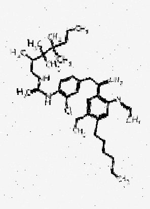 C=C(NCC(C)C(C)(C)C(C)(C)CCC)Nc1ccc(CC(=C)c2cc(CC)c(CCCCCC)cc2/N=C\C)cc1Cl